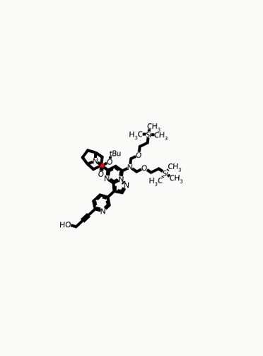 CC(C)(C)OC(=O)N1C2CCC1CC(c1cc(N(COCC[Si](C)(C)C)COCC[Si](C)(C)C)n3ncc(-c4ccc(C#CCO)nc4)c3n1)C2